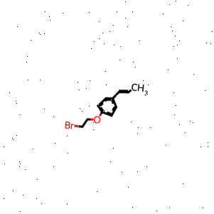 CC=Cc1ccc(OCCBr)cc1